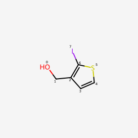 OCc1ccsc1I